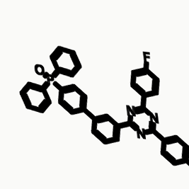 O=P(c1ccccc1)(c1ccccc1)c1ccc(-c2cccc(-c3nc(-c4ccc(F)cc4)nc(-c4ccc(F)cc4)n3)c2)cc1